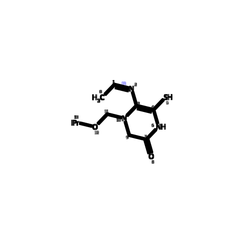 C/C=N\C1=C(S)NC(=O)CN1COC(C)C